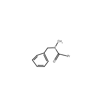 CC(C)C(=O)N(C)Cc1ccccc1